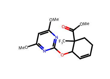 COC(=O)C1(C(F)(F)F)CCC=CC1Oc1nc(OC)cc(OC)n1